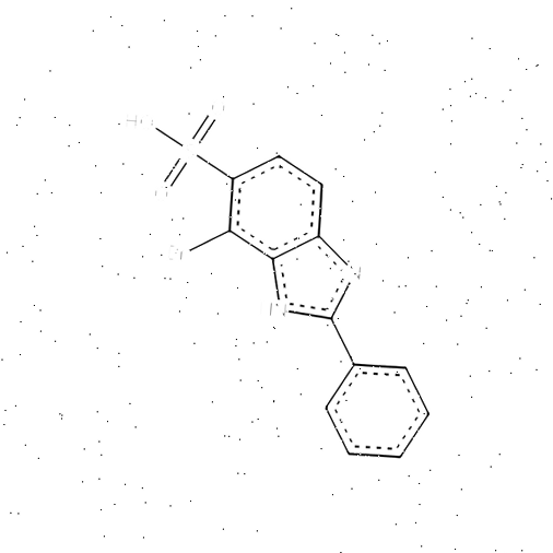 O=S(=O)(O)c1ccc2nc(-c3ccccc3)[nH]c2c1Br